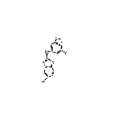 Nc1cc(Cl)cc(Oc2nc3cc(Cl)ccc3s2)c1